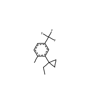 CCC1(c2cc(C(F)(F)F)ccc2C)CC1